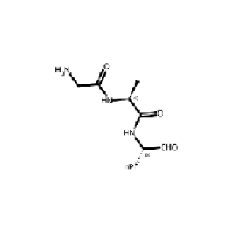 CCC[C@@H](C=O)NC(=O)[C@H](C)NC(=O)CN